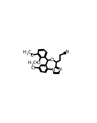 COc1cccc(C2OC(CCC#N)c3nccn3-c3ccc(Cl)cc32)c1OC